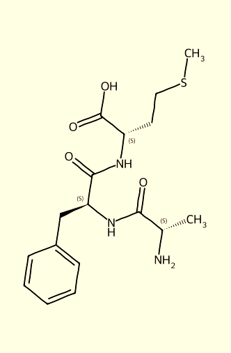 CSCC[C@H](NC(=O)[C@H](Cc1ccccc1)NC(=O)[C@H](C)N)C(=O)O